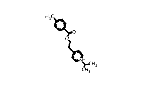 Cc1ccc(C(=O)OCCc2cc[n+](C(C)C)cc2)cc1